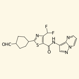 O=CC1CCC(c2nc(C(F)F)c(C(=O)Nc3cnn4cccnc34)s2)CC1